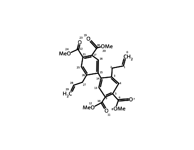 C=CCc1cc(C(=O)OC)c(C(=O)OC)cc1-c1cc(C(=O)OC)c(C(=O)OC)cc1CC=C